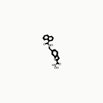 O=C(NO)c1cc2ccc(CNC(=O)c3cccc4ccccc34)cc2s1